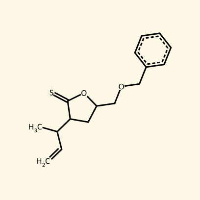 C=CC(C)C1CC(COCc2ccccc2)OC1=S